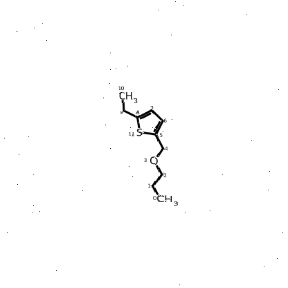 CCCOCc1ccc(CC)s1